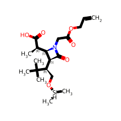 C=CCOC(=O)CN1C(=O)[C@@H]([C@@H](CO[SiH](C)C)C(C)(C)C)[C@H]1[C@@H](C)C(=O)O